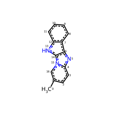 Cc1ccc2nc3c4ccccc4[nH]c3n2c1